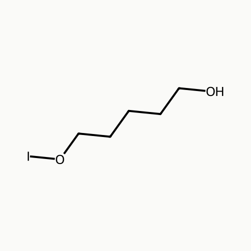 OCCCCCOI